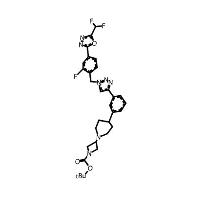 CC(C)(C)OC(=O)N1CC(N2CCC(c3cccc(-c4cn(Cc5ccc(-c6nnc(C(F)F)o6)cc5F)nn4)c3)CC2)C1